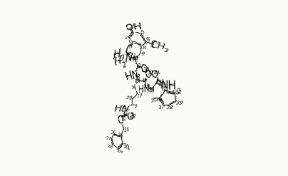 Cc1cc(O)cc(C)c1C[C@H](N)C(=O)N[C@@H](CCCCNC(=O)OCc1ccccc1)C(=O)N[C@@H](Cc1ccccc1)C(N)=O